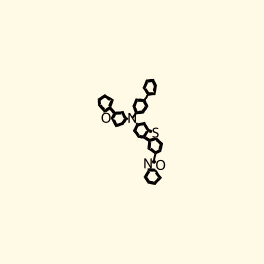 c1ccc(-c2ccc(N(c3ccc4c(c3)sc3ccc(-c5nc6ccccc6o5)cc34)c3ccc4oc5ccccc5c4c3)cc2)cc1